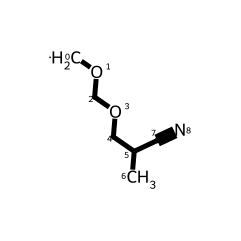 [CH2]OCOCC(C)C#N